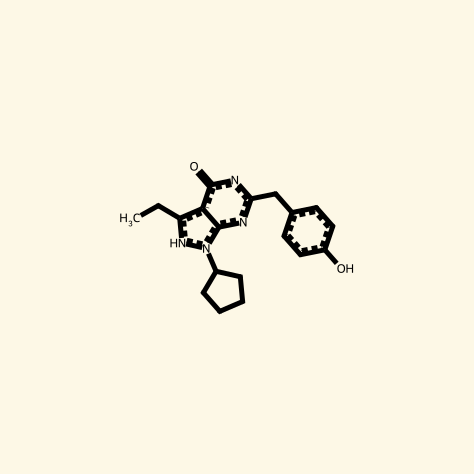 CCc1[nH]n(C2CCCC2)c2nc(Cc3ccc(O)cc3)nc(=O)c1-2